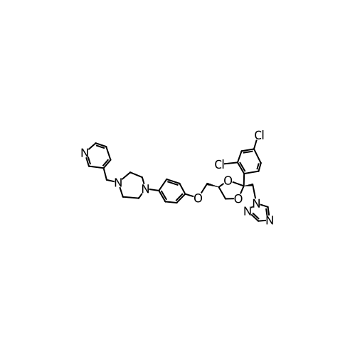 Clc1ccc([C@]2(Cn3cncn3)OC[C@@H](COc3ccc(N4CCN(Cc5cccnc5)CC4)cc3)O2)c(Cl)c1